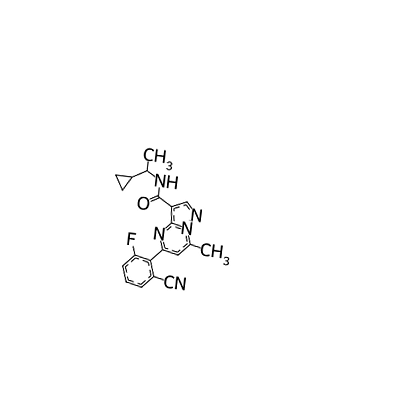 Cc1cc(-c2c(F)cccc2C#N)nc2c(C(=O)NC(C)C3CC3)cnn12